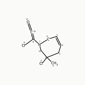 CC1(Cl)CC=CCN(C(Cl)=C=O)C1